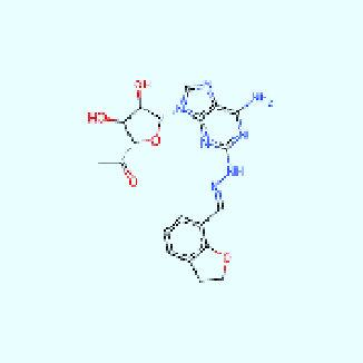 CC(=O)[C@H]1O[C@@H](n2cnc3c(N)nc(N/N=C/c4cccc5c4OCC5)nc32)[C@H](O)[C@@H]1O